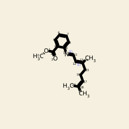 COC(=O)c1ccccc1/N=C/C=C(\C)CCC=C(C)C